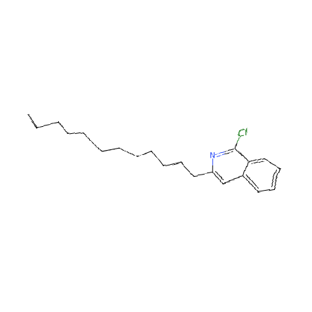 CCCCCCCCCCCCc1cc2ccccc2c(Cl)n1